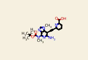 CN(C(=O)OC(C)(C)C)c1nc(N)c(C#Cc2cccc(C(=O)O)n2)c2c1ncn2C